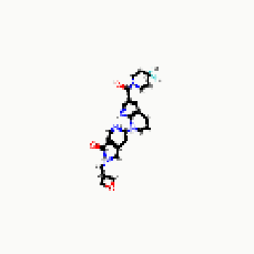 O=C(c1cnc2c(c1)CCCN2c1cc2c(cn1)C(=O)N(CC1COC1)C2)N1CCC(F)(F)CC1